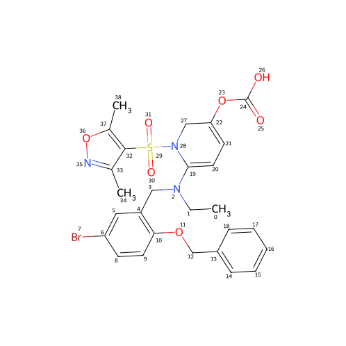 CCN(Cc1cc(Br)ccc1OCc1ccccc1)C1=CC=C(OC(=O)O)CN1S(=O)(=O)c1c(C)noc1C